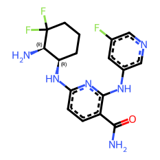 NC(=O)c1ccc(N[C@@H]2CCCC(F)(F)[C@@H]2N)nc1Nc1cncc(F)c1